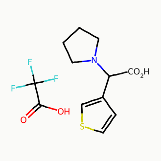 O=C(O)C(F)(F)F.O=C(O)C(c1ccsc1)N1CCCC1